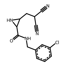 N#CC(C#N)CC1NC1C(=O)NCc1cccc(Cl)c1